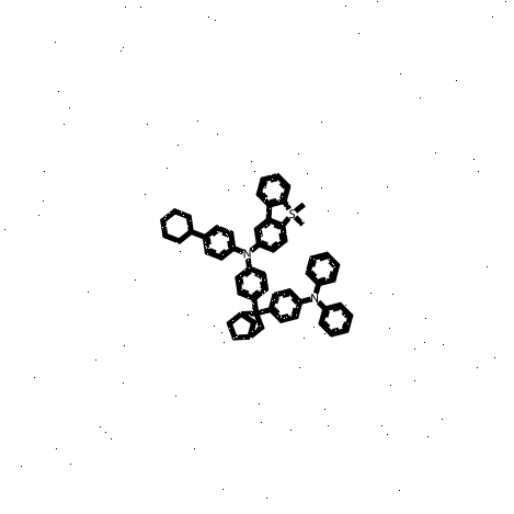 CS1(C)c2ccccc2-c2cc(N(c3ccc(C4CCCCC4)cc3)c3ccc(C4(c5ccc(N(c6ccccc6)c6ccccc6)cc5)CC5CCC4C5)cc3)ccc21